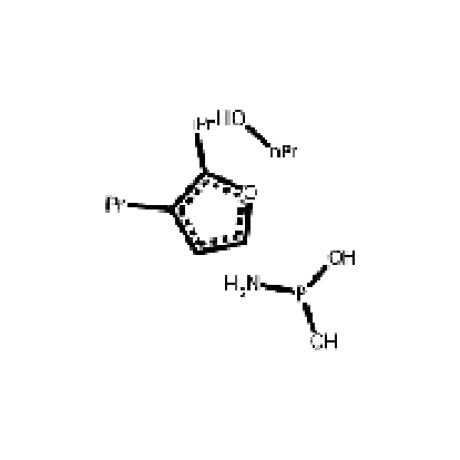 CC(C)c1ccoc1C(C)C.CCCO.NP(O)O